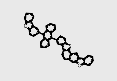 c1ccc2c(c1)oc1ccc(-c3c4ccccc4c(-c4ccc5sc6c7cc8c(cc7ccc6c5c4)oc4ccccc48)c4ccccc34)cc12